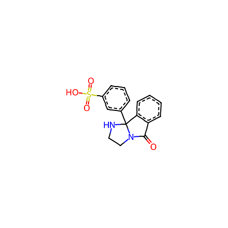 O=C1c2ccccc2C2(c3cccc(S(=O)(=O)O)c3)NCCN12